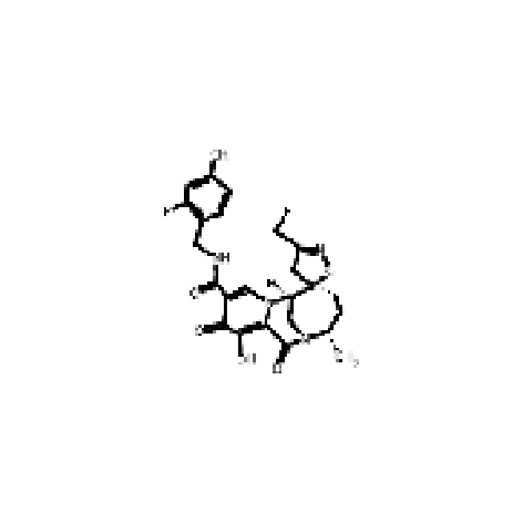 Cc1ccc(CNC(=O)c2cn3c(c(O)c2=O)C(=O)N2C[C@@H]3[C@@]3(CC[C@@H]2C)CC(CF)=NO3)c(F)c1